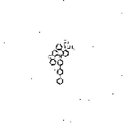 CC1(C)c2ccccc2-c2c(N(c3ccc(-c4ccc(-c5ccccc5)cc4)cc3)c3cccc4oc5ccccc5c34)cccc21